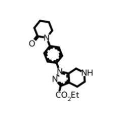 CCOC(=O)c1nn(-c2ccc(N3CCCCC3=O)cc2)c2c1CCNC2